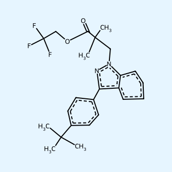 CC(C)(Cn1nc(-c2ccc(C(C)(C)C)cc2)c2ccccc21)C(=O)OCC(F)(F)F